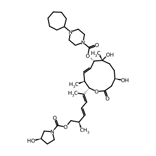 C/C(=C\C=C\[C@@H](C)COC(=O)N1CC[C@@H](O)C1)[C@H]1OC(=O)C[C@H](O)CC[C@@](C)(O)[C@@H](OC(=O)N2CCN(C3CCCCCC3)CC2)/C=C/[C@@H]1C